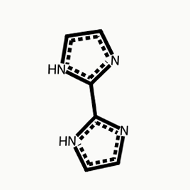 c1c[nH]c(-c2ncc[nH]2)n1